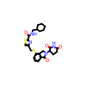 O=C1CCC(N2Cc3c(SCc4csc(C(=O)NCC5CCCCC5)n4)cccc3C2=O)C(=O)N1